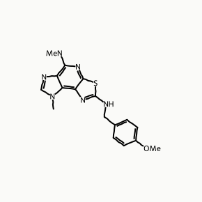 CNc1nc2sc(NCc3ccc(OC)cc3)nc2c2c1ncn2C